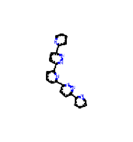 c1ccc(-c2ccc(-c3cccc(-c4ccc(-c5ccccn5)nn4)n3)nn2)nc1